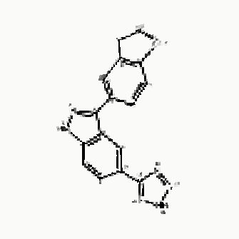 c1cc2[nH]nc(-c3ccc4c(c3)CCO4)c2cc1-c1nn[nH]n1